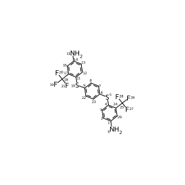 Nc1ccc(Sc2ccc(Sc3ccc(N)cc3C(F)(F)F)cc2)c(C(F)(F)F)c1